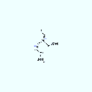 C/C=C(\C=C/ON)CO